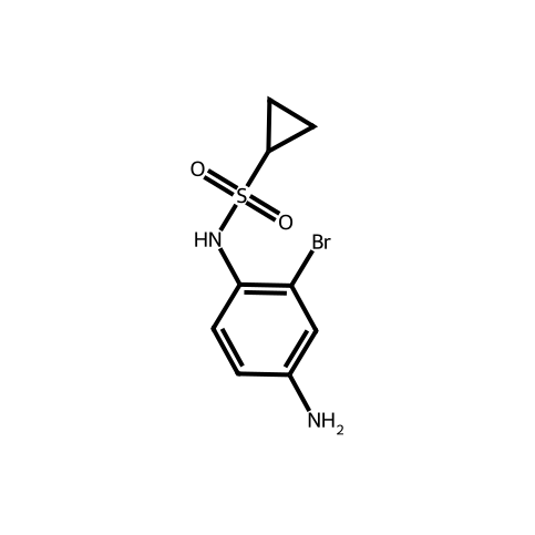 Nc1ccc(NS(=O)(=O)C2CC2)c(Br)c1